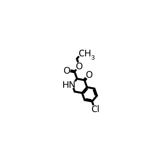 CCOC(=O)C1NCc2cc(Cl)ccc2C1=O